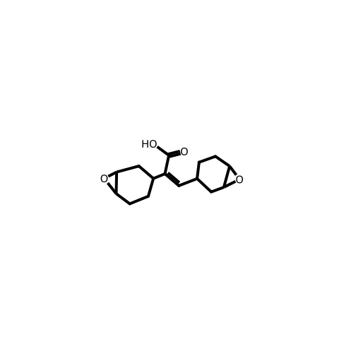 O=C(O)C(=CC1CCC2OC2C1)C1CCC2OC2C1